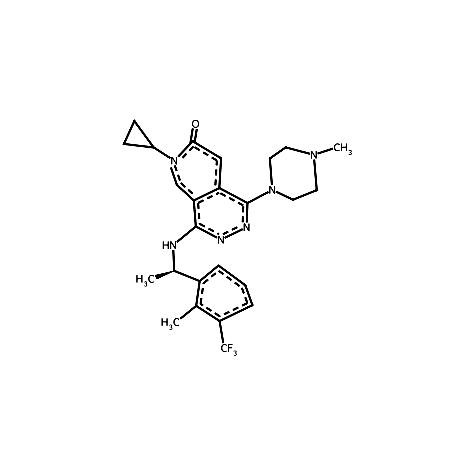 Cc1c([C@@H](C)Nc2nnc(N3CCN(C)CC3)c3cc(=O)n(C4CC4)cc23)cccc1C(F)(F)F